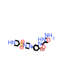 Nc1nc(C(=O)NC2=CC(N3CCN(S(=O)(=O)C4CCNCC4)CC3)=CCC2Br)co1